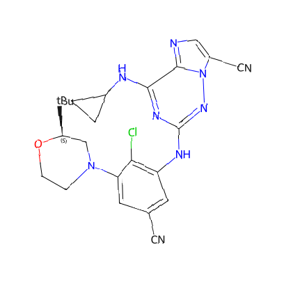 CC(C)(C)[C@H]1CN(c2cc(C#N)cc(Nc3nc(NC4CC4)c4ncc(C#N)n4n3)c2Cl)CCO1